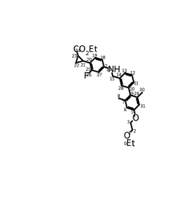 CCOCCOc1cc(C)c(-c2cccc(CNc3ccc(C4CC4C(=O)OCC)c(F)c3)c2)c(C)c1